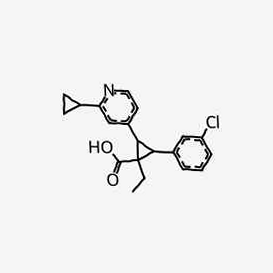 CCC1(C(=O)O)C(c2cccc(Cl)c2)C1c1ccnc(C2CC2)c1